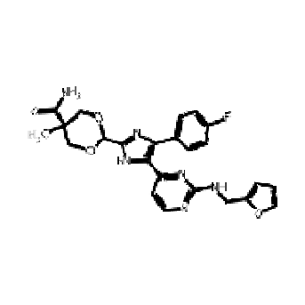 CC1(C(N)=O)COC(c2nc(-c3ccc(F)cc3)c(-c3ccnc(NCc4ccco4)n3)[nH]2)OC1